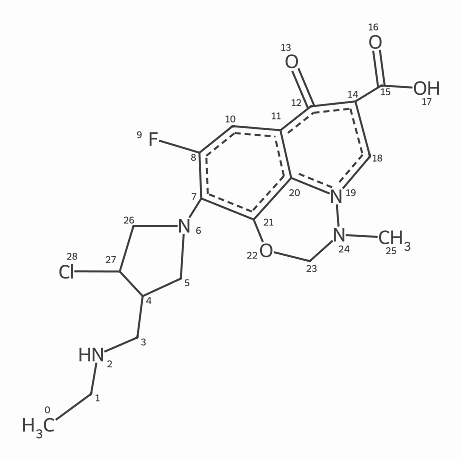 CCNCC1CN(c2c(F)cc3c(=O)c(C(=O)O)cn4c3c2OCN4C)CC1Cl